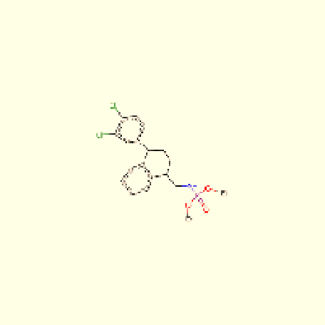 CCOP(=O)(NCC1CCC(c2ccc(Cl)c(Cl)c2)c2ccccc21)OCC